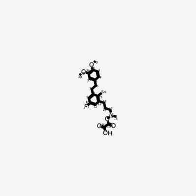 COc1ccc(CCc2cc(F)cc(CCCN(C)OC(=O)C(=O)O)c2I)cc1OC